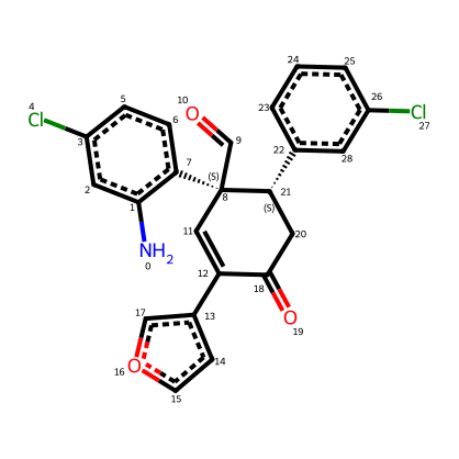 Nc1cc(Cl)ccc1[C@@]1(C=O)C=C(c2ccoc2)C(=O)C[C@H]1c1cccc(Cl)c1